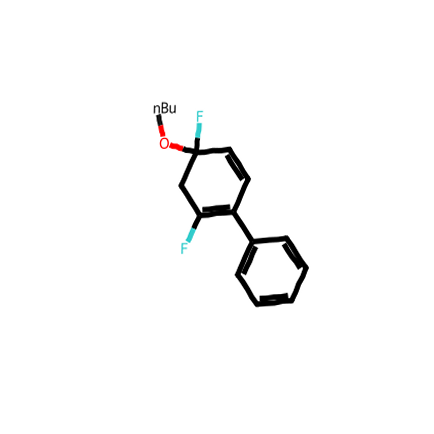 CCCCOC1(F)C=CC(c2ccccc2)=C(F)C1